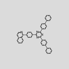 c1ccc(-c2ccc(-c3nc(-c4ccc(-c5ccccc5)cc4)nc(-c4ccc(-c5nccc6ccccc56)cc4)n3)cc2)cc1